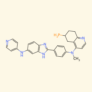 CN(c1ccc(-c2nc3ccc(Nc4ccncc4)cc3[nH]2)cc1)c1ccnc2c1CC(P)CC2